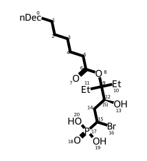 CCCCCCCCCCCCCCCC(=O)OC(CC)(CC)[C@@H](O)CC(Br)P(=O)(O)O